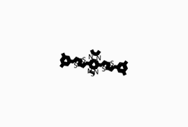 Cc1cc(C)cc(-c2cc3sc(-c4c5nsnc5c(-c5cc6sc(-c7cc(C)cc(C)c7)cc6s5)c5nc(C)c(C)nc45)cc3s2)c1